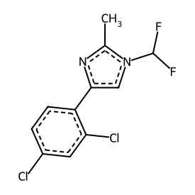 Cc1nc(-c2ccc(Cl)cc2Cl)cn1C(F)F